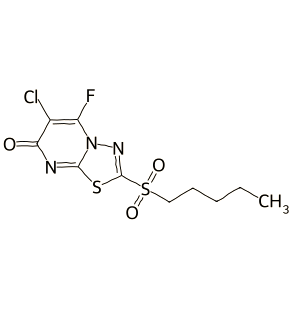 CCCCCS(=O)(=O)c1nn2c(F)c(Cl)c(=O)nc2s1